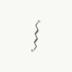 BrCC=CC=CCBr